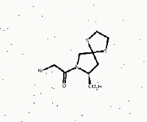 O=C(O)[C@@H]1CC2(CN1C(=O)CBr)SCCS2